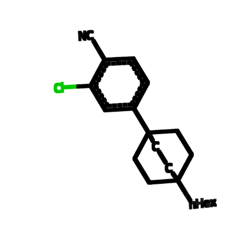 CCCCCCC12CCC(c3ccc(C#N)c(Cl)c3)(CC1)CC2